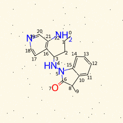 CCCC(NN1C(=O)C(C)c2ccccc21)c1ccncc1N